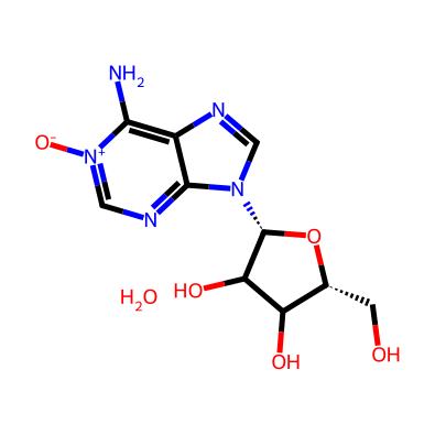 Nc1c2ncn([C@@H]3O[C@H](CO)C(O)C3O)c2nc[n+]1[O-].O